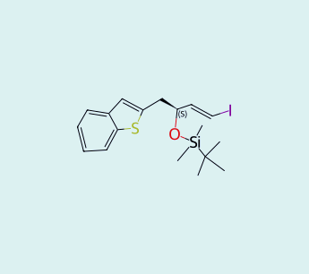 CC(C)(C)[Si](C)(C)O[C@H](C=CI)Cc1cc2ccccc2s1